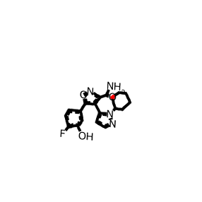 NC(=O)c1noc(-c2ccc(F)c(O)c2)c1-c1ccnn1C1CCCCC1